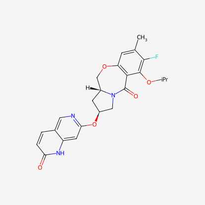 Cc1cc2c(c(OC(C)C)c1F)C(=O)N1C[C@@H](Oc3cc4[nH]c(=O)ccc4cn3)C[C@@H]1CO2